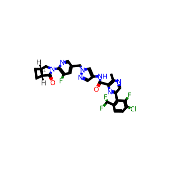 Cc1ncc(-c2c(C(F)F)ccc(Cl)c2F)nc1C(=O)Nc1cnn(Cc2cnc(N3C[C@H]4CC[C@H]4C3=O)c(F)c2)c1